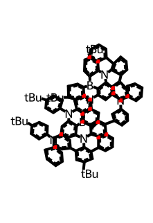 CC(C)(C)c1ccc(N(c2ccccc2)c2cc3c4c(c2)N(c2c(-c5ccccc5)cc(C(C)(C)C)cc2-c2ccccc2)c2ccc(-c5cccc(N(c6ccccc6)c6cc7c8c(c6)N(c6c(-c9ccccc9)cccc6-c6ccccc6)c6cc(C(C)(C)C)ccc6B8c6ccc(C(C)(C)C)cc6N7c6ccccc6)c5)cc2B4c2ccccc2N3c2ccc(C(C)(C)C)cc2)cc1